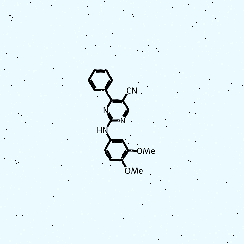 COc1ccc(Nc2ncc(C#N)c(-c3ccccc3)n2)cc1OC